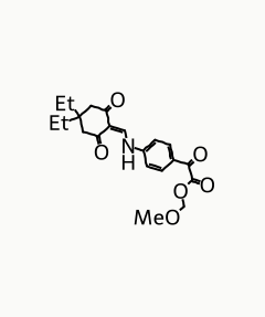 CCC1(CC)CC(=O)C(=CNc2ccc(C(=O)C(=O)OCOC)cc2)C(=O)C1